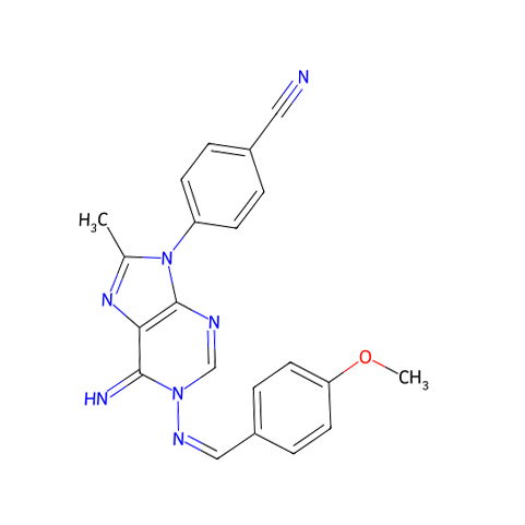 COc1ccc(/C=N\n2cnc3c(nc(C)n3-c3ccc(C#N)cc3)c2=N)cc1